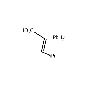 CC(C)C=CC(=O)O.[PbH2]